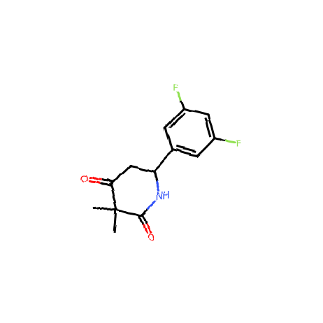 CC1(C)C(=O)CC(c2cc(F)cc(F)c2)NC1=O